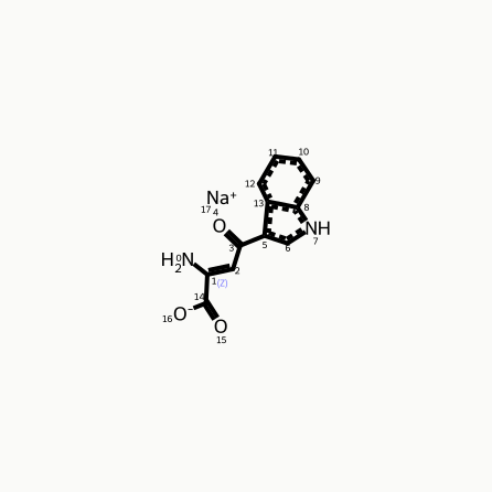 N/C(=C\C(=O)c1c[nH]c2ccccc12)C(=O)[O-].[Na+]